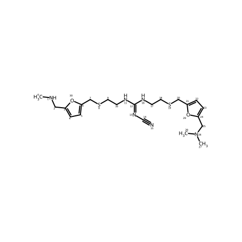 CNCc1ccc(CSCCNC(=NC#N)NCCSCc2ccc(CN(C)C)o2)o1